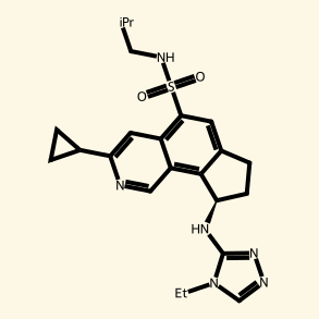 CCn1cnnc1N[C@@H]1CCc2cc(S(=O)(=O)NCC(C)C)c3cc(C4CC4)ncc3c21